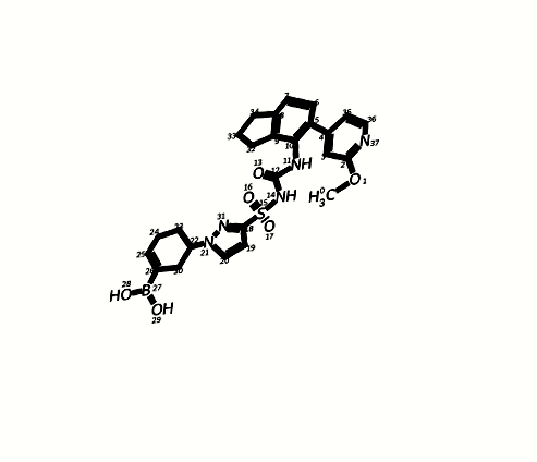 COc1cc(-c2ccc3c(c2NC(=O)NS(=O)(=O)c2ccn(C4CCC=C(B(O)O)C4)n2)CCC3)ccn1